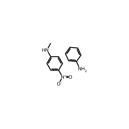 CNc1ccc([N+](=O)[O-])cc1.Nc1ccccc1